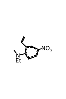 C=Cc1cc([N+](=O)[O-])ccc1N(C)CC